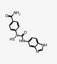 NC(=O)c1ccc(N(S)C(=O)Nc2ccc3[nH]cnc3c2)cc1